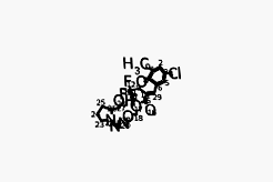 Cc1cc(Cl)cc2c1O[C@H](C(F)(F)F)C(C(=O)OCO/N=N\N1CCC[C@H]1CO)=C2